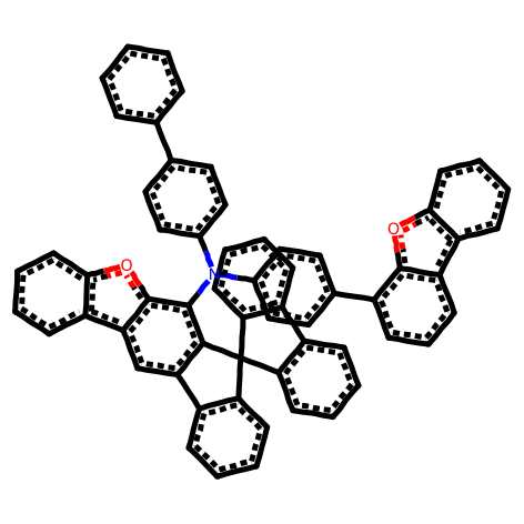 c1ccc(-c2ccc(N(c3ccc(-c4cccc5c4oc4ccccc45)cc3)c3c4c(cc5c3oc3ccccc35)-c3ccccc3C43c4ccccc4-c4ccccc43)cc2)cc1